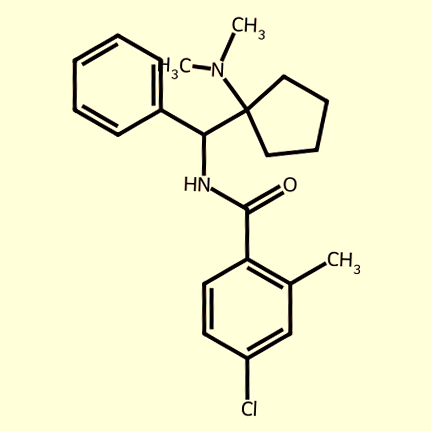 Cc1cc(Cl)ccc1C(=O)NC(c1ccccc1)C1(N(C)C)CCCC1